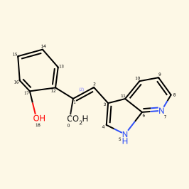 O=C(O)/C(=C\c1c[nH]c2ncccc12)c1ccccc1O